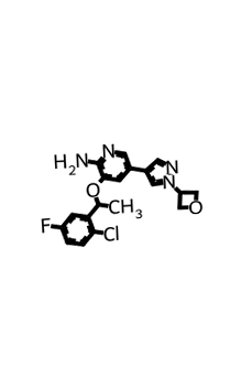 CC(Oc1cc(-c2cnn(C3COC3)c2)cnc1N)c1cc(F)ccc1Cl